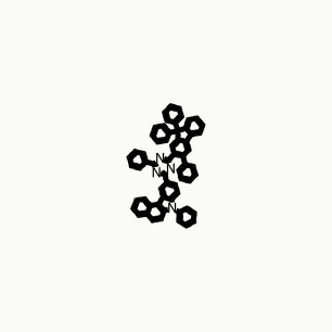 c1ccc(-c2nc(-c3ccc4c(c3)c3c5ccccc5ccc3n4-c3ccccc3)nc(-c3cc4c(cc3-c3ccccc3)-c3ccccc3C4(c3ccccc3)c3ccccc3)n2)cc1